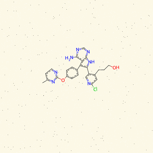 Cc1ccnc(Oc2ccc(-c3c(-c4cnc(Cl)cc4CCCO)[nH]c4ncnc(N)c34)cc2)n1